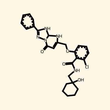 O=C(NCC1(O)CCCCC1)c1c(Cl)cccc1OCC1=CC(=O)N2N=C(c3ccccc3)NC2N1